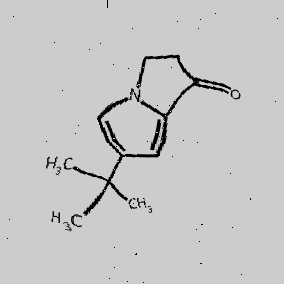 CC(C)(C)c1cc2n(c1)CCC2=O